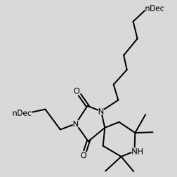 CCCCCCCCCCCCCCCCN1C(=O)N(CCCCCCCCCCCC)C(=O)C12CC(C)(C)NC(C)(C)C2